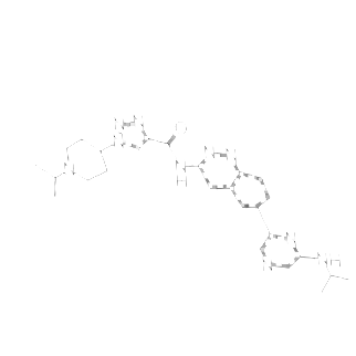 CC(C)Nc1cncc(-c2ccc3nnc(NC(=O)c4cn(C5CCN(C(C)C)CC5)nn4)cc3c2)n1